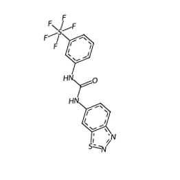 O=C(Nc1cccc(S(F)(F)(F)(F)F)c1)Nc1ccc2nnsc2c1